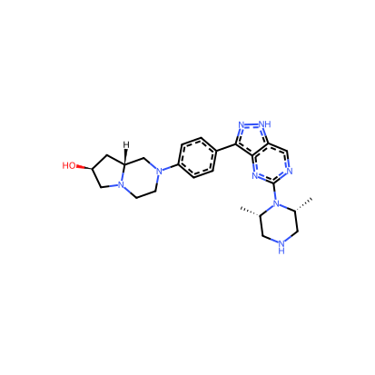 C[C@@H]1CNC[C@H](C)N1c1ncc2[nH]nc(-c3ccc(N4CCN5C[C@@H](O)C[C@@H]5C4)cc3)c2n1